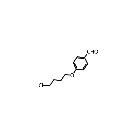 O=Cc1ccc(OCCCCCl)cc1